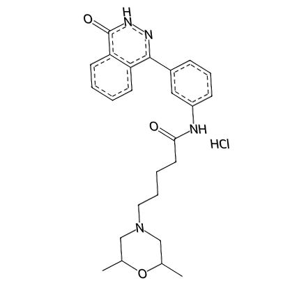 CC1CN(CCCCC(=O)Nc2cccc(-c3n[nH]c(=O)c4ccccc34)c2)CC(C)O1.Cl